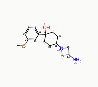 CSc1cccc(C2(O)CCC(N3CC(N)C3)CC2)c1